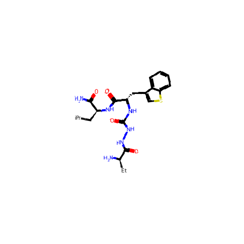 CC[C@@H](N)C(=O)NNC(=O)N[C@@H](Cc1csc2ccccc12)C(=O)N[C@@H](CC(C)C)C(N)=O